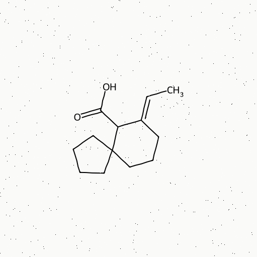 CC=C1CCCC2(CCCC2)C1C(=O)O